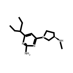 CCC(CC)c1cc(N2CC[C@@H](NC)C2)nc(N)n1